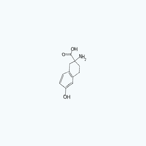 NC1(C(=O)O)CCc2cc(O)ccc2C1